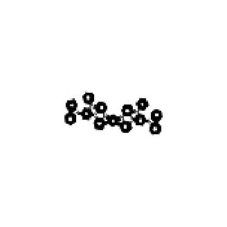 c1ccc(N2c3cc(-n4c5ccccc5c5ccccc54)ccc3B3c4c2cccc4-n2c4cc5c(cc4c4cccc3c42)c2cccc3c2n5-c2cccc4c2B3c2ccc(-n3c5ccccc5c5ccccc53)cc2N4c2ccccc2)cc1